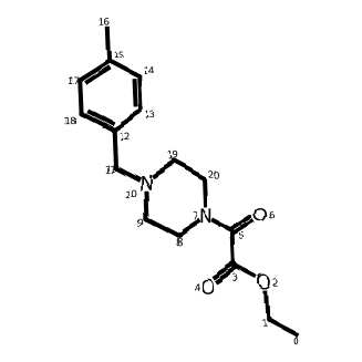 CCOC(=O)C(=O)N1CCN(Cc2ccc(C)cc2)CC1